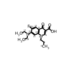 CCCn1cc(C(=O)O)c(=O)c2cc(F)c(N(CC)CC)cc21